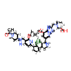 COc1nc(-c2cccc(-c3ccnc(-c4cc(OC)c5nc(CN(C)CCO)nn5c4)c3Cl)c2Cl)ccc1CNC1CCN(C(C)=O)CC1